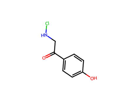 O=C(CNCl)c1ccc(O)cc1